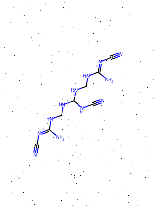 N#C/N=C(\N)NCNC(NC#N)NCN/C(N)=N/C#N